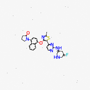 Cc1nc(Oc2ccc(N3CCCC3=O)c3ccccc23)c(-c2ccnc(N[C@@H]3CNC[C@@H](F)C3)n2)s1